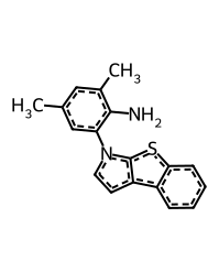 Cc1cc(C)c(N)c(-n2ccc3c4ccccc4sc32)c1